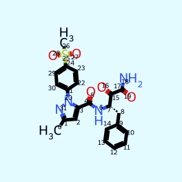 Cc1cc(C(=O)N[C@@H](Cc2ccccc2)C(=O)C(N)=O)n(-c2ccc(S(C)(=O)=O)cc2)n1